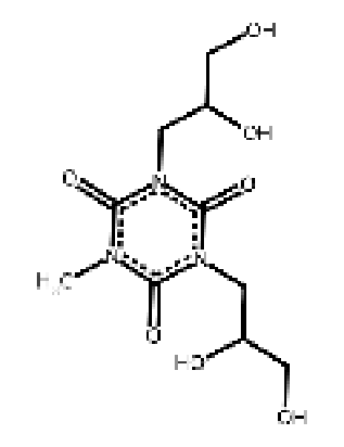 Cn1c(=O)n(CC(O)CO)c(=O)n(CC(O)CO)c1=O